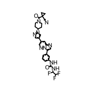 N#CC1(C(=O)N2CCC(n3cc(-c4cnn5c(-c6cccc(NC(=O)NC(F)C(F)F)c6)cnc5c4)cn3)CC2)CC1